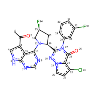 CC(=O)c1c[nH]c2ncnc(N3C[C@@H](F)C[C@H]3c3nn4ccc(Cl)c4c(=O)n3-c3cccc(F)c3)c12